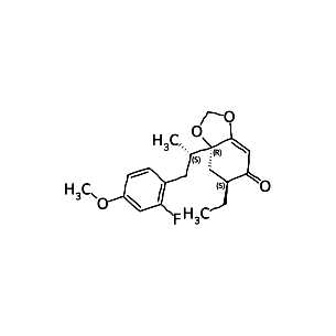 CC[C@H]1C[C@]2([C@@H](C)Cc3ccc(OC)cc3F)OCOC2=CC1=O